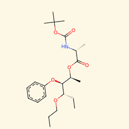 CCCO[C@@H](CC)[C@@H](Oc1ccccc1)[C@H](C)OC(=O)[C@@H](C)NC(=O)OC(C)(C)C